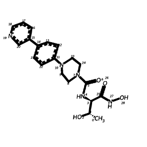 C[C@H](O)[C@@H](NC(=O)N1CCN(c2ccc(-c3cccnc3)cc2)CC1)C(=O)NO